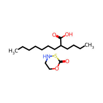 CCCCCCCC(CCCC)C(=O)O.O=C1OCCNS1